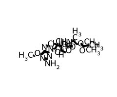 CCOc1nc(N)nc2c1ncn2[C@@H]1O[C@@H]2CO[P@](=O)(N[C@H](C)COC(=O)C(C)(C)C)O[C@H]2[C@@]1(C)Cl